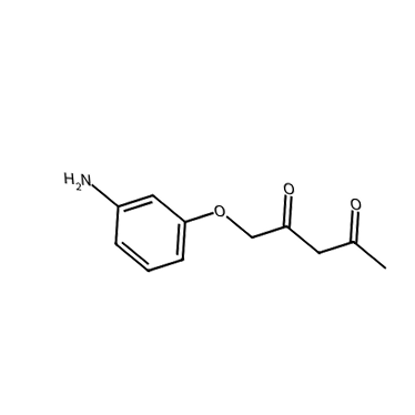 CC(=O)CC(=O)COc1cccc(N)c1